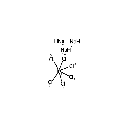 [Cl][Ir]([Cl])([Cl])([Cl])([Cl])[Cl].[NaH].[NaH].[NaH]